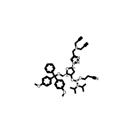 C#CCN(CC#C)Cc1cn([C@H]2CC(OP(OCCC#N)N(C(C)C)C(C)C)[C@@H](COC(c3ccccc3)(c3ccc(OC)cc3)c3ccc(OC)cc3)O2)nn1